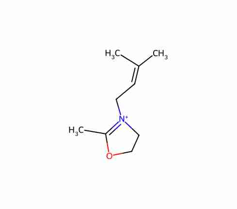 CC(C)=CC[N+]1=C(C)OCC1